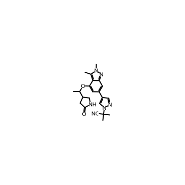 Cc1c2c(OC(C)C3CNC(=O)C3)cc(-c3cnn(C(C)(C)C#N)c3)cc2nn1C